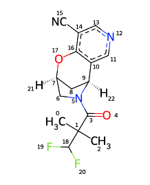 CC(C)(C(=O)N1C[C@@H]2C[C@H]1c1cncc(C#N)c1O2)C(F)F